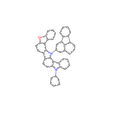 c1ccc(-n2c3ccccc3c3c2ccc2c4ccc5oc6ccccc6c5c4n(-c4cc5c6c(cccc6c4)-c4ccccc4-5)c23)cc1